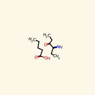 CCC(=N)C(=O)CC.CCCCC(=O)O